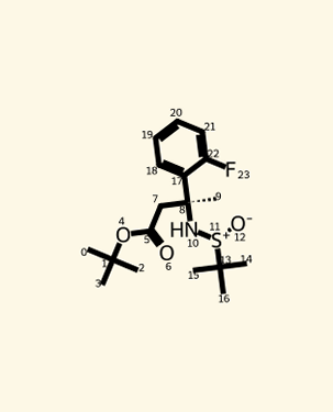 CC(C)(C)OC(=O)C[C@](C)(N[S@+]([O-])C(C)(C)C)c1ccccc1F